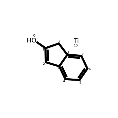 OC1=Cc2ccccc2C1.[Ti]